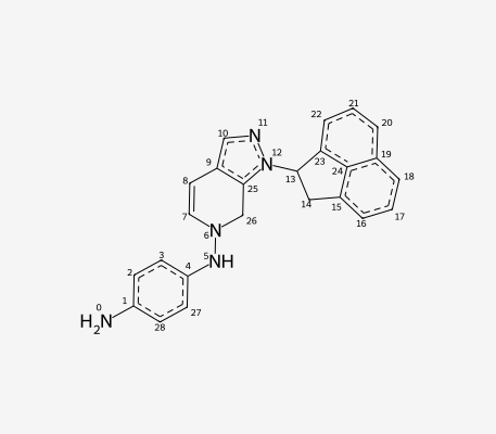 Nc1ccc(NN2C=Cc3cnn(C4Cc5cccc6cccc4c56)c3C2)cc1